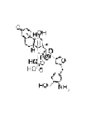 C[C@]12C=CC(=O)C=C1CC[C@@H]1[C@@H]2[C@@H](O)C[C@@]2(C)[C@H]1C[C@H]1O[C@@H](c3coc(Cc4ccc(CO)c(N)c4)c3)O[C@]12C(=O)COP(=O)(O)O